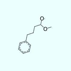 COC([O])CCCc1ccccc1